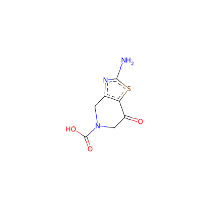 Nc1nc2c(s1)C(=O)CN(C(=O)O)C2